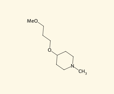 COCCCOC1CCN(C)CC1